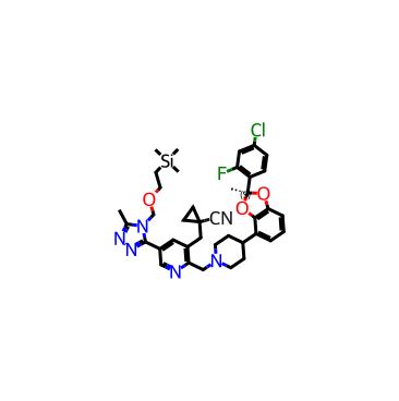 Cc1nnc(-c2cnc(CN3CCC(c4cccc5c4O[C@@](C)(c4ccc(Cl)cc4F)O5)CC3)c(CC3(C#N)CC3)c2)n1COCC[Si](C)(C)C